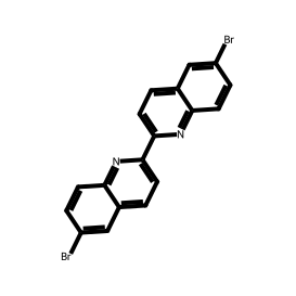 Brc1ccc2nc(-c3ccc4cc(Br)ccc4n3)ccc2c1